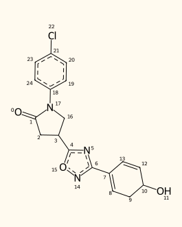 O=C1CC(c2nc(C3=CCC(O)C=C3)no2)CN1c1ccc(Cl)cc1